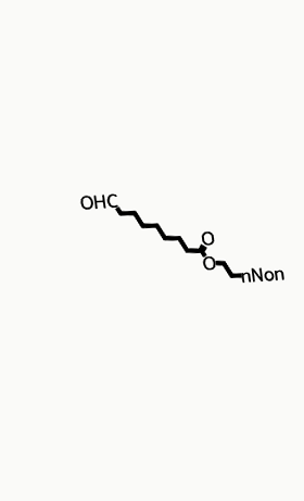 CCCCCCCCCCCOC(=O)CCCCCCCC=O